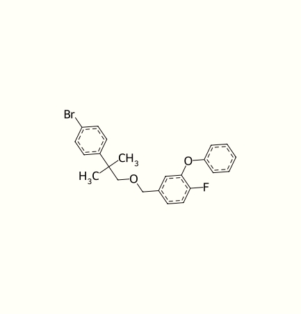 CC(C)(COCc1ccc(F)c(Oc2ccccc2)c1)c1ccc(Br)cc1